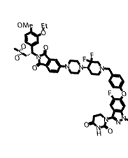 CCOc1cc([C@@H](CS(C)(=O)=O)N2C(=O)c3ccc(N4CCN([C@@H]5CCN(Cc6ccc(Oc7cc8c(cc7F)c(N7CCC(=O)NC7=O)nn8C)cc6)CC5(F)F)CC4)cc3C2=O)ccc1OC